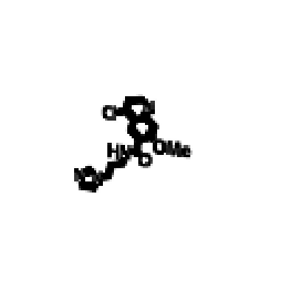 COc1cc2nccc(Cl)c2cc1C(=O)NCCCn1ccnc1